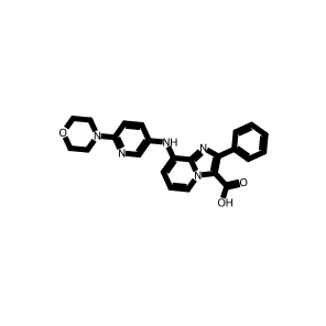 O=C(O)c1c(-c2ccccc2)nc2c(Nc3ccc(N4CCOCC4)nc3)cccn12